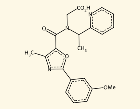 COc1cccc(-c2nc(C)c(C(=O)N(CC(=O)O)C(C)c3ccccn3)o2)c1